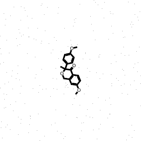 COc1ccc(C2(C)OCc3cc(OC)ccc3C2=O)cc1